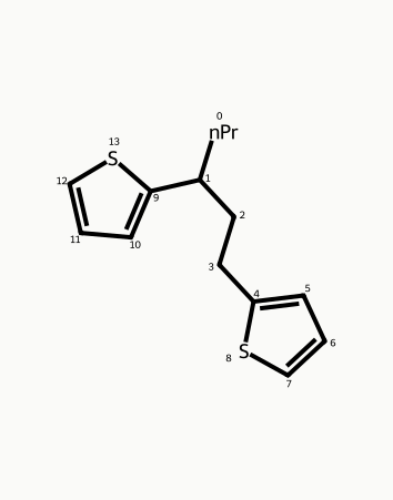 [CH2]CCC(CCc1cccs1)c1cccs1